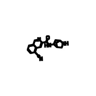 N#Cc1cccc2cnc(C(=O)NC3CC4CC3CN4)cc12